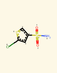 NS(=O)(=O)c1csc(Cl)c1